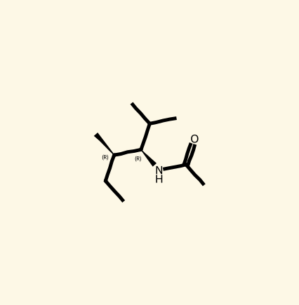 CC[C@@H](C)[C@H](NC(C)=O)C(C)C